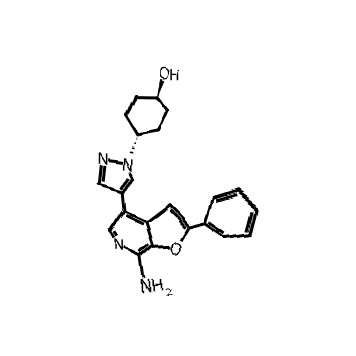 Nc1ncc(-c2cnn([C@H]3CC[C@H](O)CC3)c2)c2cc(-c3ccccc3)oc12